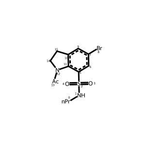 CCCNS(=O)(=O)c1cc(Br)cc2c1N(C(C)=O)CC2